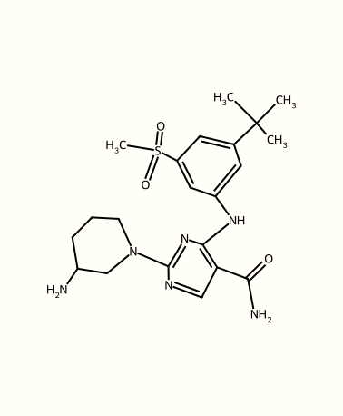 CC(C)(C)c1cc(Nc2nc(N3CCCC(N)C3)ncc2C(N)=O)cc(S(C)(=O)=O)c1